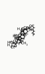 CCO[C@@H]([C@H]1C[C@@H](C)[C@H]2[C@H](O1)[C@H](O)[C@@]1(C)[C@@H]3CC[C@H]4C(C)(C)[C@@H](O[C@H]5CN(CCF)CCO5)CCC45C[C@@]35CC[C@]21C)C(C)(C)O